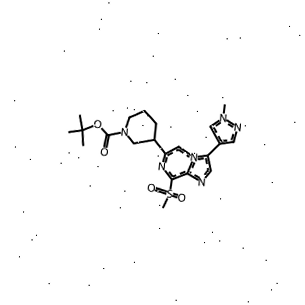 Cn1cc(-c2cnc3c(S(C)(=O)=O)nc(C4CCCN(C(=O)OC(C)(C)C)C4)cn23)cn1